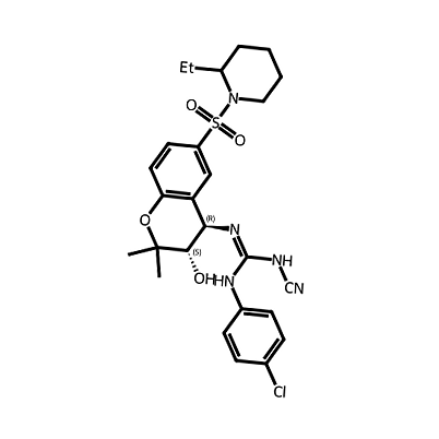 CCC1CCCCN1S(=O)(=O)c1ccc2c(c1)[C@@H](N=C(NC#N)Nc1ccc(Cl)cc1)[C@H](O)C(C)(C)O2